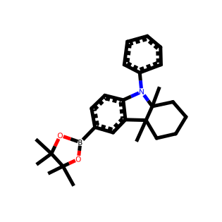 CC1(C)OB(c2ccc3c(c2)C2(C)CCCCC2(C)N3c2ccccc2)OC1(C)C